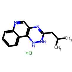 CC(C)CC1=Nc2cnc3ccccc3c2NN1.Cl